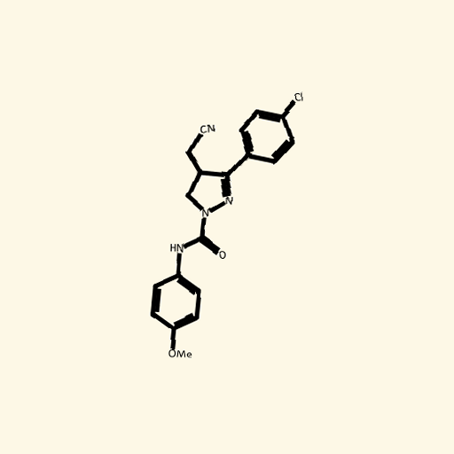 COc1ccc(NC(=O)N2CC(CC#N)C(c3ccc(Cl)cc3)=N2)cc1